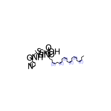 CC/C=C\C/C=C\C/C=C\C/C=C\C/C=C\C/C=C\CCC(=O)N[C@@H](CSSC(C)(C)CNC(=O)c1cccnc1)C(=O)O